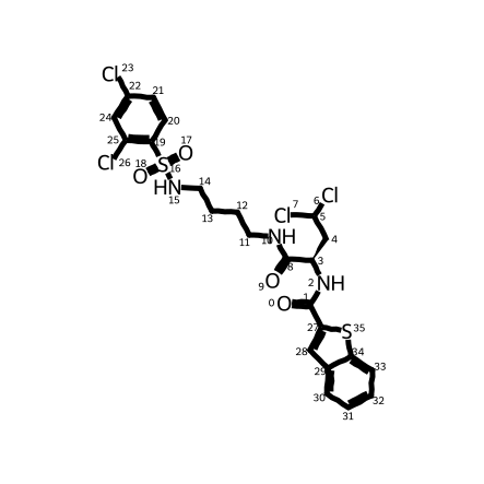 O=C(N[C@H](CC(Cl)Cl)C(=O)NCCCCNS(=O)(=O)c1ccc(Cl)cc1Cl)c1cc2ccccc2s1